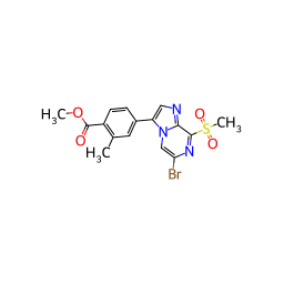 COC(=O)c1ccc(-c2cnc3c(S(C)(=O)=O)nc(Br)cn23)cc1C